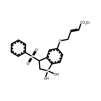 CCOC(=O)/C=C/COc1ccc2c(c1)C(S(=O)(=O)c1ccccc1)CS2(O)O